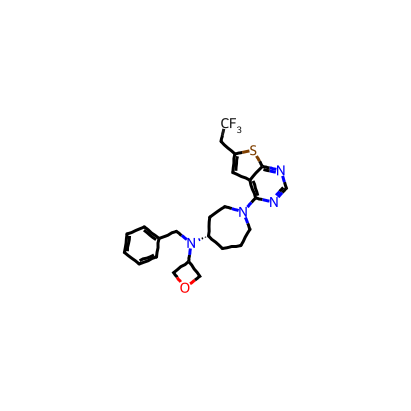 FC(F)(F)Cc1cc2c(N3CCC[C@H](N(Cc4ccccc4)C4COC4)CC3)ncnc2s1